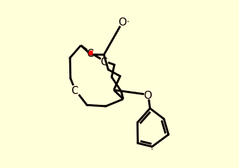 [O]C1CCC(Oc2cc[c]cc2)C2CCCCCC(CCCCC2)C1